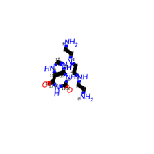 NCCNCCNCCN.O=c1[nH]c(=O)c2[nH]cnc2[nH]1